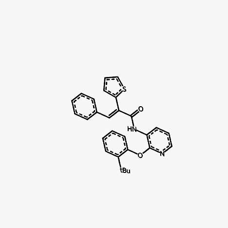 CC(C)(C)c1ccccc1Oc1ncccc1NC(=O)C(=Cc1ccccc1)c1cccs1